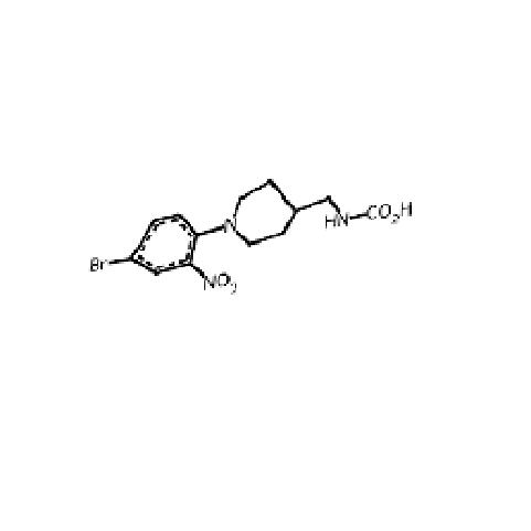 O=C(O)NCC1CCN(c2ccc(Br)cc2[N+](=O)[O-])CC1